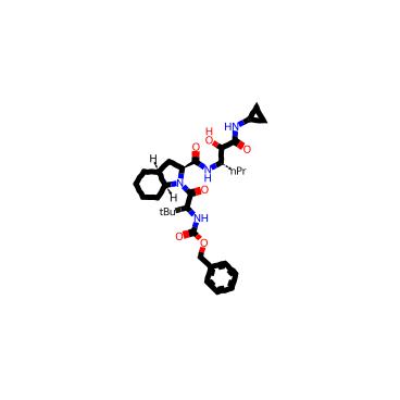 CCC[C@H](NC(=O)[C@@H]1C[C@@H]2CCCC[C@@H]2N1C(=O)C(NC(=O)OCc1ccccc1)C(C)(C)C)C(O)C(=O)NC1CC1